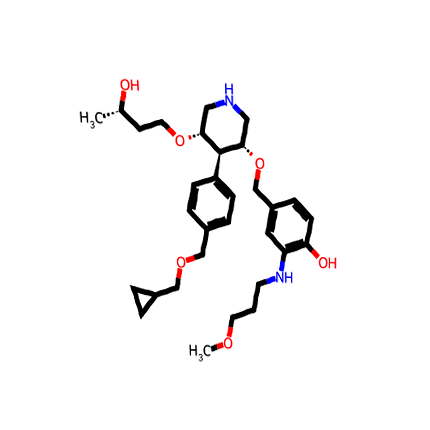 COCCCNc1cc(CO[C@H]2CNC[C@@H](OCC[C@H](C)O)[C@@H]2c2ccc(COCC3CC3)cc2)ccc1O